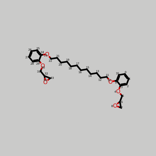 c1ccc(OCC2CO2)c(OCCCCCCCCCCCCOc2ccccc2OCC2CO2)c1